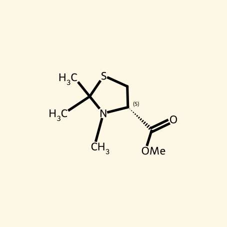 COC(=O)[C@H]1CSC(C)(C)N1C